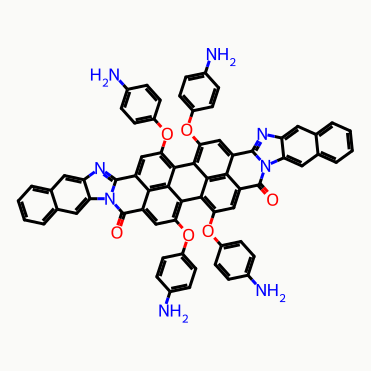 Nc1ccc(Oc2cc3c(=O)n4c5cc6ccccc6cc5nc4c4cc(Oc5ccc(N)cc5)c5c6c(Oc7ccc(N)cc7)cc7c8c(cc(Oc9ccc(N)cc9)c(c2c5c34)c68)c(=O)n2c3cc4ccccc4cc3nc72)cc1